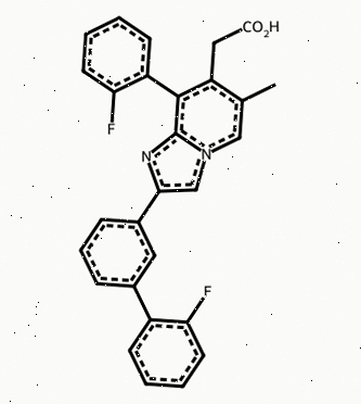 Cc1cn2cc(-c3cccc(-c4ccccc4F)c3)nc2c(-c2ccccc2F)c1CC(=O)O